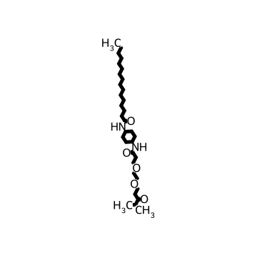 CCCCCCCCCCCCCCCC(=O)N[C@H]1CC[C@@H](NC(=O)CCOCCOCCC(=O)C(C)C)CC1